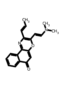 CC=Cc1nc2c3ccccc3c(=O)cc-2oc1C=CN(C)C